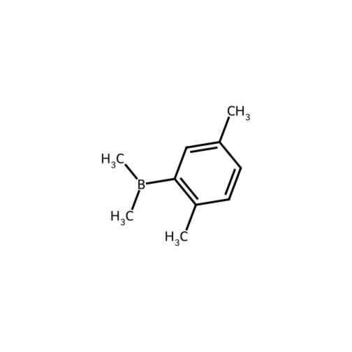 CB(C)c1cc(C)ccc1C